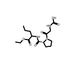 CCCC(NC(=O)[C@@H]1CCCN1C(=O)CNC(=O)O)C(=O)OCC